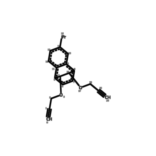 C#CCOC1c2ccc(c3cc(C(C)C)ccc23)C1OCC#C